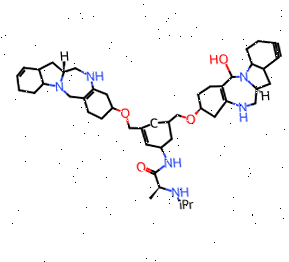 CC(C)N[C@@H](C)C(=O)NC1C=C(COC2CCC3=C(C2)NC[C@H]2CC4C=CCCC4N2C3)CC(CO[C@H]2CCC3=C(C2)NC[C@@H]2CC4C#CCCC4N2C3O)C1